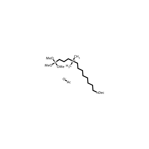 CC(=O)[O-].CCCCCCCCCCCCCCCCCC[N+](C)(C)CCC[Si](OC)(OC)OC